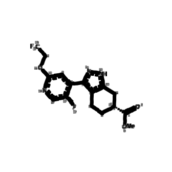 COC(=O)[C@@H]1CCc2c(-c3cc(OCC(F)(F)F)ncc3F)n[nH]c2C1